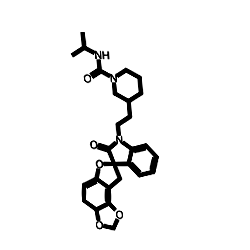 CC(C)NC(=O)N1CCCC(CCN2C(=O)C3(CC4=C5OCOC5CC=C4O3)c3ccccc32)C1